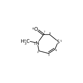 CN1CC=CSCC1=O